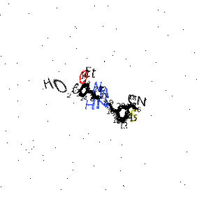 CCOc1cc(-c2cc(NCCc3ccc4scc(C#N)c4c3)ncn2)ccc1C(=O)O